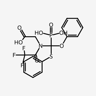 O=C(O)CN(C(=O)C(F)(F)F)C(Oc1ccccc1)(Sc1ccccc1)P(=O)(O)O